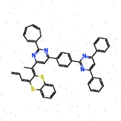 C=C/C=C1/Sc2ccccc2S/C1=C(/C)c1cc(-c2ccc(-c3nc(-c4ccccc4)cc(-c4ccccc4)n3)cc2)nc(C2=CC=CC=CC2)n1